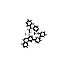 C(=C/c1ccc(-c2cccc(-c3ccccc3Nc3ccccc3)c2)cc1N/C=C/Cc1ccccc1)/c1ccccc1